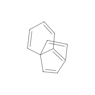 C1=CC2=C3C=CC2(C=C1)C=C3